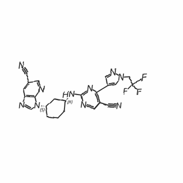 N#Cc1cnc2c(c1)ncn2[C@H]1CCC[C@@H](Nc2ncc(C#N)c(-c3cnn(CC(F)(F)F)c3)n2)C1